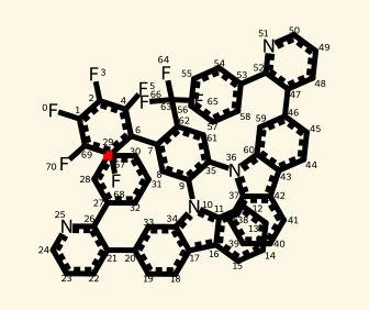 Fc1c(F)c(F)c(-c2cc(-n3c4ccccc4c4ccc(-c5cccnc5-c5ccccc5)cc43)c(-n3c4ccccc4c4ccc(-c5cccnc5-c5ccccc5)cc43)cc2C(F)(F)F)c(F)c1F